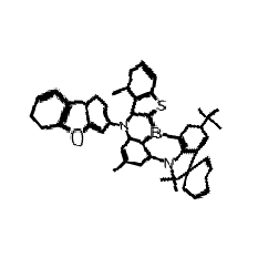 CC1=CC2C3B(C4=C5C(=CC(C(C)(C)C)C4)C4(CCCCC4)C(C)(C)N5C3C1)C1SC3=C(C(C)CC=C3)C1N2C1=CCC2C(=C1)OC1=C2C=CCC1